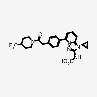 C1CC1.O=C(O)Nc1nc2cccc(-c3ccc(CC(=O)N4CCC(C(F)(F)F)CC4)cc3)n2n1